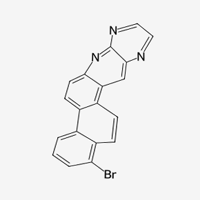 Brc1cccc2c1ccc1c3cc4nccnc4nc3ccc21